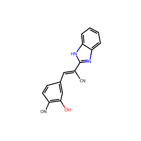 N#C/C(=C\c1ccc(N=O)c(O)c1)c1nc2ccccc2[nH]1